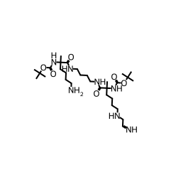 CC(C)(C)OC(=O)NC(C)(CCCCN)C(=O)NCCCCNC(=O)C(C)(CCCCNCC=N)NC(=O)OC(C)(C)C